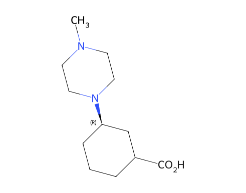 CN1CCN([C@@H]2CCCC(C(=O)O)C2)CC1